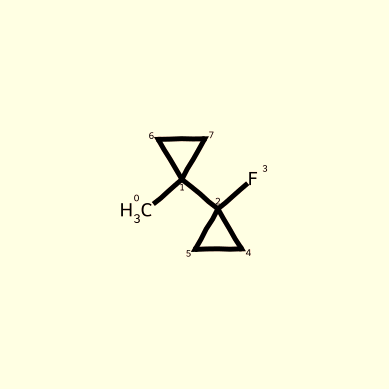 CC1(C2(F)CC2)CC1